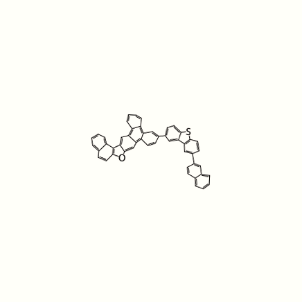 c1ccc2cc(-c3ccc4sc5ccc(-c6ccc7c(c6)c6ccccc6c6cc8c(cc76)oc6ccc7ccccc7c68)cc5c4c3)ccc2c1